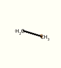 [CH2]CCCCCCCCCCCCCCCCCCSC